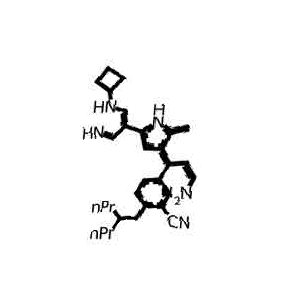 C=c1[nH]c(/C(C=N)=C/NC2CCC2)c/c1=C(/C=C\N)c1ccc(CC(CCC)CCC)c(C#N)c1